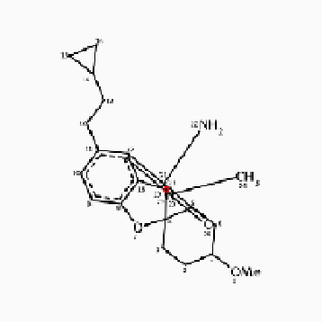 COC1CCC2(CC1)Oc1ccc(CCC3CC3)cc1C21N=C(N)N(C)C1=O